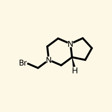 BrCN1CCN2CCC[C@@H]2C1